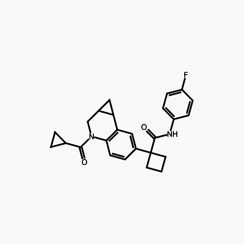 O=C(C1CC1)N1CC2CC2c2cc(C3(C(=O)Nc4ccc(F)cc4)CCC3)ccc21